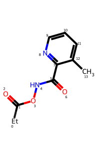 CCC(=O)ONC(=O)c1ncccc1C